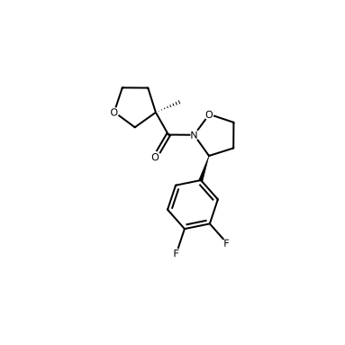 C[C@@]1(C(=O)N2OCC[C@H]2c2ccc(F)c(F)c2)CCOC1